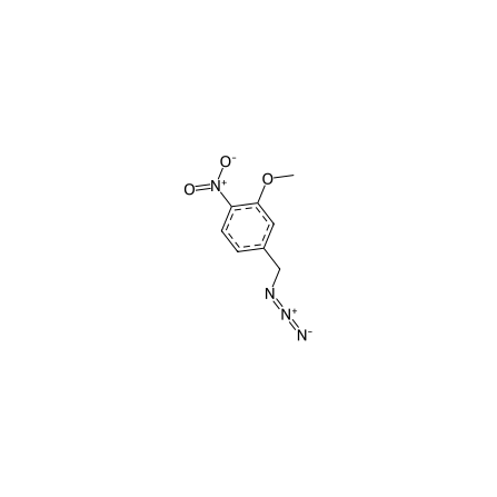 COc1cc(CN=[N+]=[N-])ccc1[N+](=O)[O-]